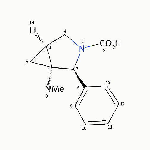 CN[C@]12C[C@H]1CN(C(=O)O)[C@H]2c1ccccc1